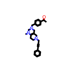 CC(=O)c1ccc(CN2CC3=C(CCN(CC#Cc4ccccc4)C3)N(C)C2)cc1